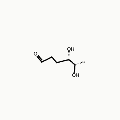 C[C@H](O)[C@@H](O)CCC=O